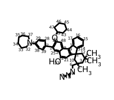 CC1(C)CC(C)(CN=[N+]=[N-])CC2(C1)c1ccccc1-c1c2cc(O)c2cc(-c3ccc(N4CCCCCC4)cc3)c(OC3CCCCC3)cc12